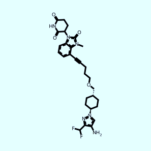 Cn1c(=O)n(C2CCC(=O)NC2=O)c2cccc(C#CCCCOC[C@H]3CC[C@H](n4cc(N)c(C(F)F)n4)CC3)c21